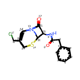 O=C(Cc1ccccc1)NC1C(=O)N2C=C(CCl)CSC12